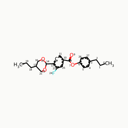 CCCc1ccc(OC(=O)c2ccc(C3OCC(CCC)CO3)c(F)c2)cc1